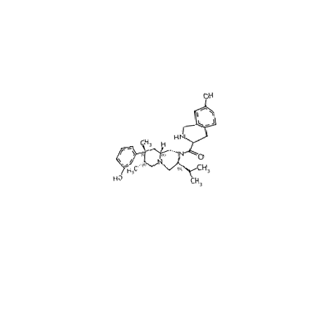 CC(C)[C@H]1CN2C[C@H](C)[C@](C)(c3cccc(O)c3)C[C@@H]2CN1C(=O)C1Cc2ccc(O)cc2CN1